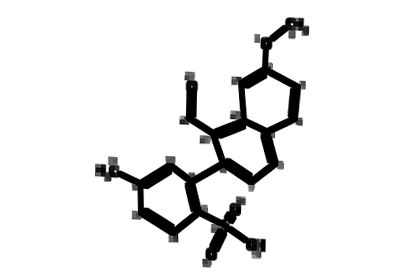 COc1ccc2ccc(-c3cc(C)ccc3S(=O)(=O)O)c(C=O)c2c1